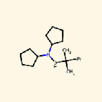 CC(C)C(C)(C)BN(C1CCCC1)C1CCCC1